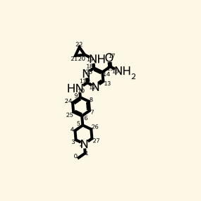 CCN1CCC(c2ccc(Nc3ncc(C(N)=O)c(NC4CC4)n3)cc2)CC1